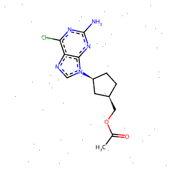 CC(=O)OC[C@@H]1CC[C@H](n2cnc3c(Cl)nc(N)nc32)C1